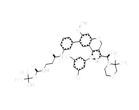 COc1cc2c(cc1-c1cccc(NC(=O)CCNC(=O)OC(C)(C)C)c1)-c1c(c(C(=O)N3CCOCC3(C)C)nn1-c1cc(Cl)cc(Cl)c1)CO2